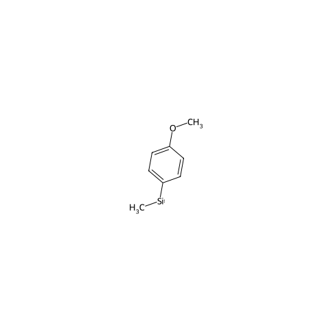 COc1ccc([Si]C)cc1